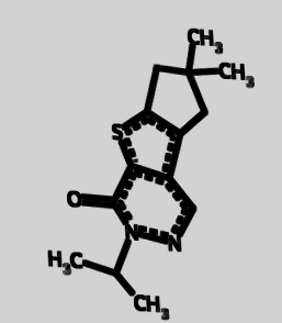 CC(C)n1ncc2c3c(sc2c1=O)CC(C)(C)C3